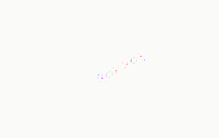 CCCCN(C(=O)c1ccc(C2OCC3(CO2)COC(c2ccc(C(=O)N(CCCC)C4CCCCC4)cc2)OC3)cc1)C1CCCCC1